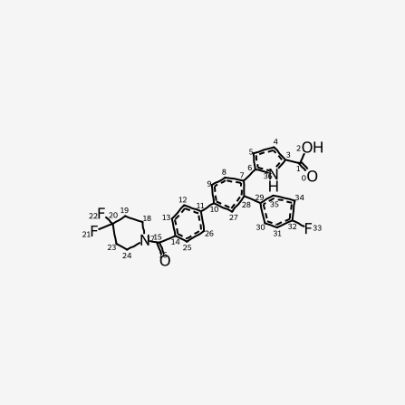 O=C(O)c1ccc(-c2ccc(-c3ccc(C(=O)N4CCC(F)(F)CC4)cc3)cc2-c2ccc(F)cc2)[nH]1